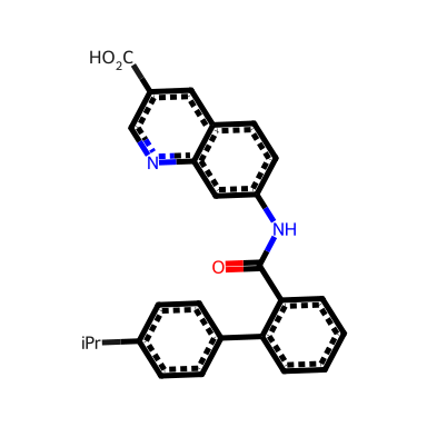 CC(C)c1ccc(-c2ccccc2C(=O)Nc2ccc3cc(C(=O)O)cnc3c2)cc1